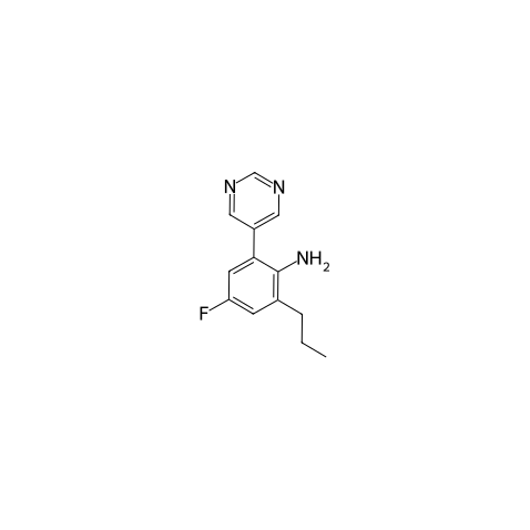 CCCc1cc(F)cc(-c2cncnc2)c1N